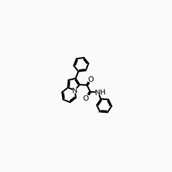 O=C(Nc1c[c]ccc1)C(=O)c1c(-c2ccccc2)cc2ccccn12